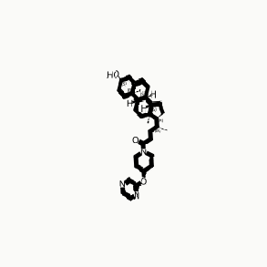 C[C@H](CCC(=O)N1CCC(Oc2cnccn2)CC1)[C@H]1CC[C@H]2[C@@H]3CC=C4C[C@@H](O)CC[C@]4(C)[C@H]3CC[C@]12C